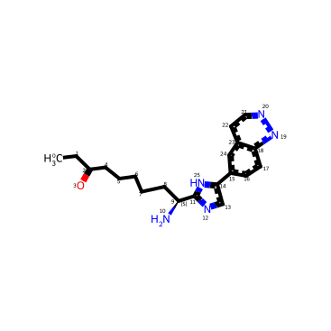 CCC(=O)CCCCC[C@H](N)c1ncc(-c2ccc3nnccc3c2)[nH]1